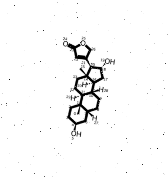 C[C@]12CC[C@H](O)C[C@H]1CC[C@@H]1[C@@H]2CC[C@@]2(C)[C@H]1C[C@@H](O)[C@@H]2C1=CC(=O)OC1